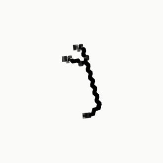 CCCOC(CCCCCCCCCC/C=C\CCO)OCCC